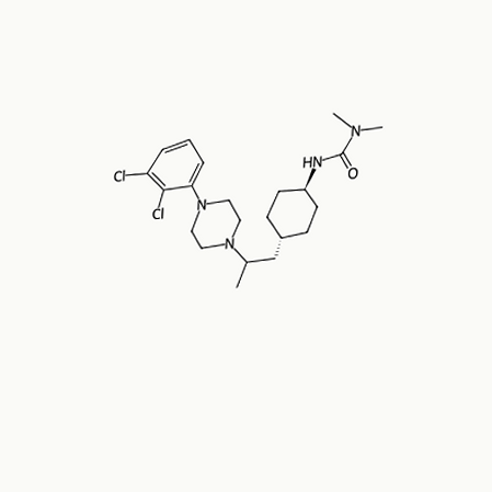 CC(C[C@H]1CC[C@H](NC(=O)N(C)C)CC1)N1CCN(c2cccc(Cl)c2Cl)CC1